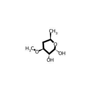 CO[C@H]1C[C@@H](C)O[C@H](O)[C@@H]1O